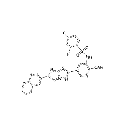 COc1ncc(-c2nn3cc(-c4cnc5ccccc5c4)nc3s2)cc1NS(=O)(=O)c1ccc(F)cc1F